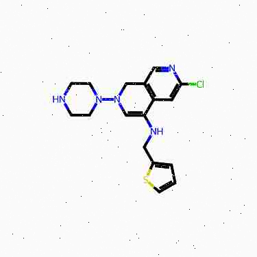 Clc1cc2c(cn1)CN(N1CCNCC1)C=C2NCc1cccs1